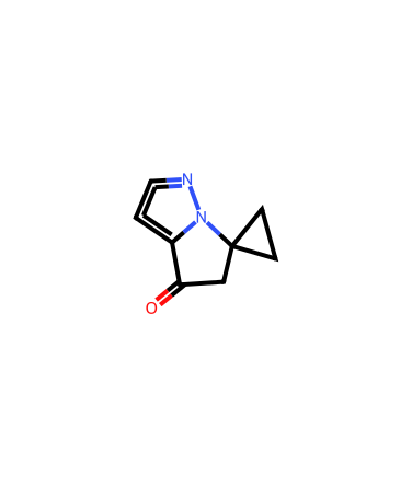 O=C1CC2(CC2)N2N=C=C=C12